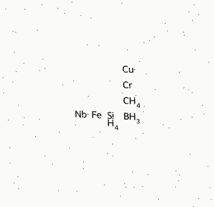 B.C.[Cr].[Cu].[Fe].[Nb].[SiH4]